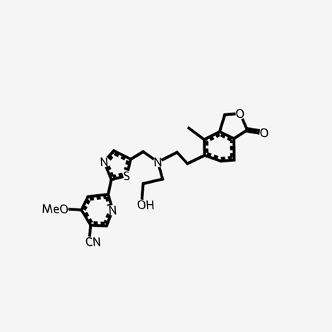 COc1cc(-c2ncc(CN(CCO)CCc3ccc4c(c3C)COC4=O)s2)ncc1C#N